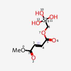 COC(=O)/C=C/C(=O)OC[Si](O)(O)O